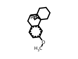 COc1ccc2c(c1)C13CCCCC1(O)C(C2)NCC3